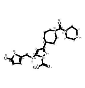 CC(C)(C)C(=O)n1nc(C2CCCN(C(=O)N3CCOCC3)CC2)cc1NCc1ccc(Cl)s1